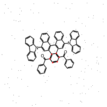 O=C(c1ccccc1)c1cccc(-c2cc(-n3c4ccccc4c4ccccc43)c3ccccc3c2-c2c(-c3cccc(C(=O)c4ccccc4)c3)cc(-n3c4ccccc4c4ccccc43)c3ccccc23)c1